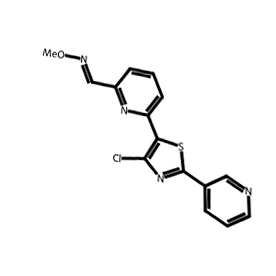 CON=Cc1cccc(-c2sc(-c3cccnc3)nc2Cl)n1